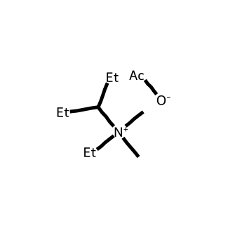 CC(=O)[O-].CCC(CC)[N+](C)(C)CC